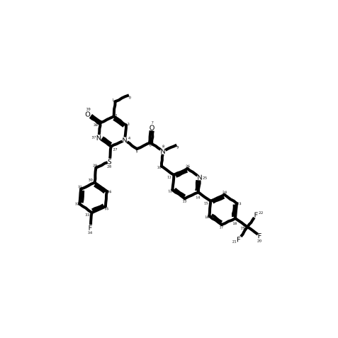 CCc1cn(CC(=O)N(C)Cc2ccc(-c3ccc(C(F)(F)F)cc3)nc2)c(SCc2ccc(F)cc2)nc1=O